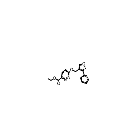 CCOC(=O)c1ccc(OCc2conc2-c2ccccn2)nn1